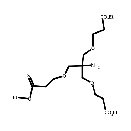 CCOC(=O)CCOCC(N)(COCCC(=O)OCC)COCCC(=S)OCC